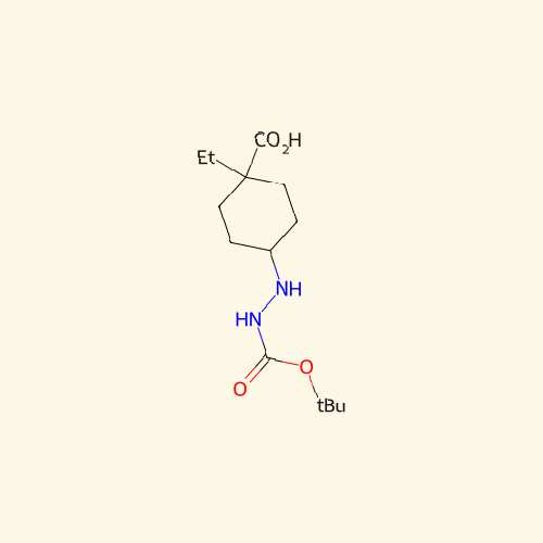 CCC1(C(=O)O)CCC(NNC(=O)OC(C)(C)C)CC1